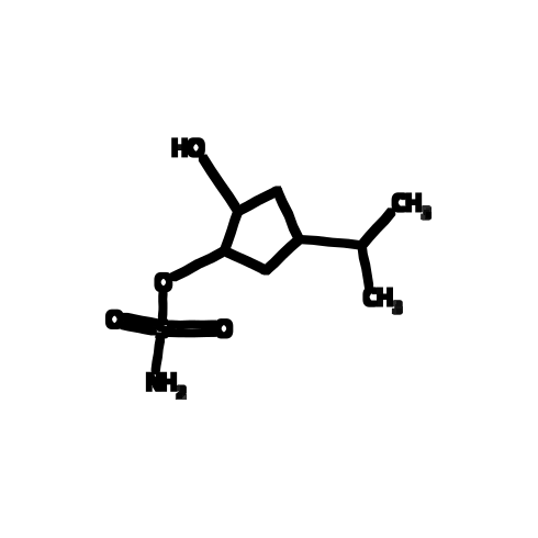 CC(C)C1CC(O)C(OS(N)(=O)=O)C1